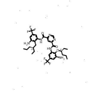 CCC[C@H](CC)Cc1c(N)cc(C(F)(F)F)cc1NC(=O)c1cc(C(=O)Nc2cc(C(F)(F)F)cc(N)c2O[C@@H](CC)CCC)ncn1